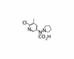 Cc1cc(N(C(=O)O)N2CCCC2)cnc1Cl